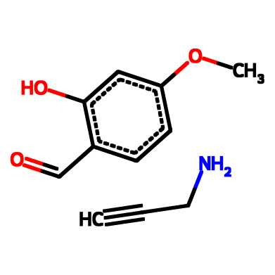 C#CCN.COc1ccc(C=O)c(O)c1